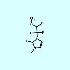 CN1C=CN(C(F)(F)C(F)OC(F)(F)F)C1F